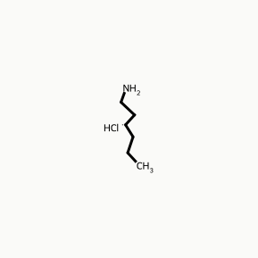 CCC[CH]CCN.Cl